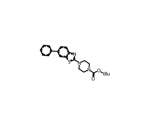 CC(C)(C)OC(=O)N1CCN(c2nc3ccc(-c4ccccc4)cc3s2)CC1